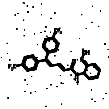 O=C(C=CC=C(c1ccc(C(F)(F)F)cc1)c1ccc(C(F)(F)F)cc1)NC1C=CC=CC1=NO